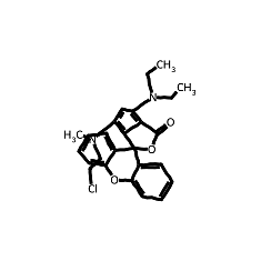 CCN(CC)c1ccc(N(C)CCCl)c2c1C(=O)OC21c2ccccc2Oc2ccccc21